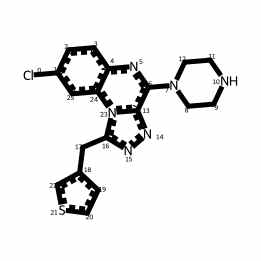 Clc1ccc2nc(N3CCNCC3)c3nnc(Cc4ccsc4)n3c2c1